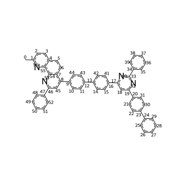 Cc1ccc2ccc3c(-c4ccc(-c5ccc(-c6cc(-c7ccc(-c8ccccc8)cc7)nc(-c7ccccc7)n6)cc5)cc4)cc(-c4ccccc4)nc3c2n1